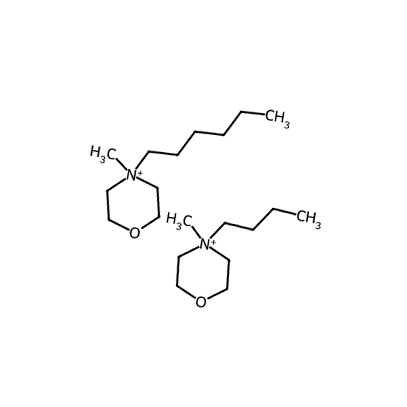 CCCCCC[N+]1(C)CCOCC1.CCCC[N+]1(C)CCOCC1